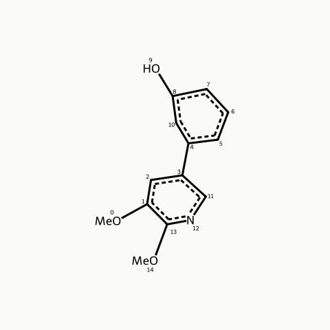 COc1cc(-c2cccc(O)c2)cnc1OC